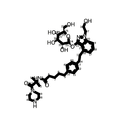 CC(C)(NC(=O)CCCCc1ccc(CCc2cccc3c2c(O[C@@H]2O[C@H](CO)[C@@H](O)[C@H](O)[C@H]2O)nn3CCO)cc1)C(=O)N1CCNCC1